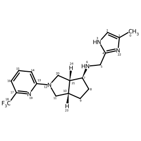 Cc1c[nH]c(CN[C@H]2CC[C@@H]3CN(c4cccc(C(F)(F)F)n4)C[C@@H]32)n1